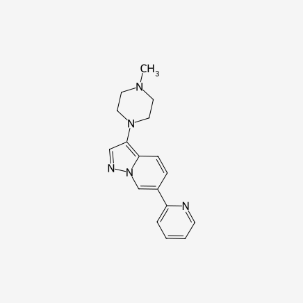 CN1CCN(c2cnn3cc(-c4ccccn4)ccc23)CC1